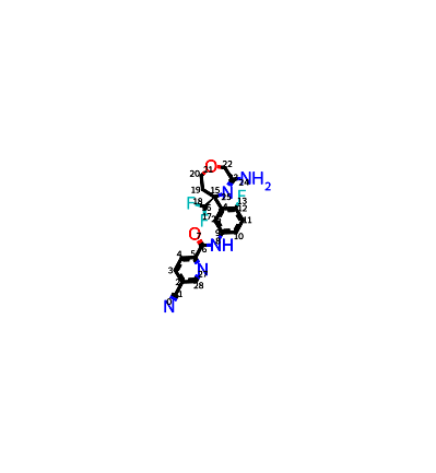 N#Cc1ccc(C(=O)Nc2ccc(F)c([C@]3(C(F)F)CCOCC(N)=N3)c2)nc1